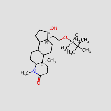 CN1C(=O)CC[C@]2(C)C3CC[C@@]4(CCO[Si](C)(C)C(C)(C)C)C(CC[C@@H]4O)C3CCC12